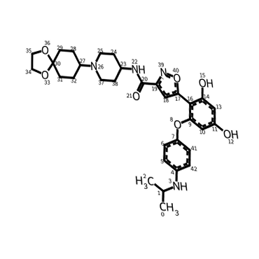 CC(C)Nc1ccc(Oc2cc(O)cc(O)c2-c2cc(C(=O)NC3CCN(C4CCC5(CC4)OCCO5)CC3)no2)cc1